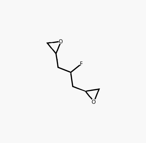 FC(CC1CO1)CC1CO1